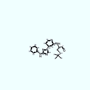 CC(C)(C)SCC(C=O)Nc1cc(-n2cnc(Nc3ccccc3)n2)ccn1